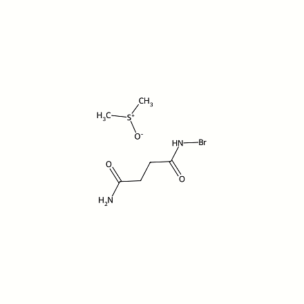 C[S+](C)[O-].NC(=O)CCC(=O)NBr